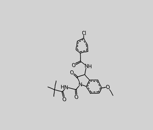 COc1ccc2c(c1)C(NC(=O)c1ccc(Cl)cc1)C(=O)N2C(=O)NC(=O)C(C)(C)C